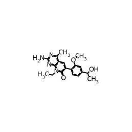 CCn1c(=O)c(-c2ccc(C(C)O)cc2OC)cc2c(C)nc(N)nc21